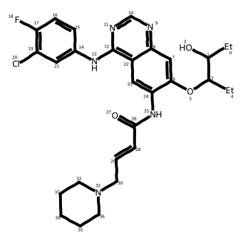 CCC(O)C(CC)Oc1cc2ncnc(Nc3ccc(F)c(Cl)c3)c2cc1NC(=O)/C=C/CN1CCCCC1